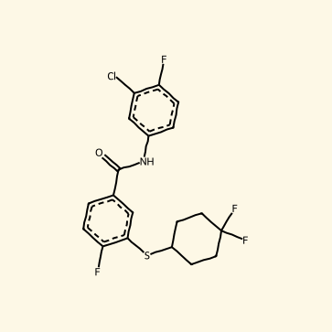 O=C(Nc1ccc(F)c(Cl)c1)c1ccc(F)c(SC2CCC(F)(F)CC2)c1